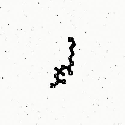 CCC=CCCOC(=O)OC(C)(C)OC(=O)C(C)C